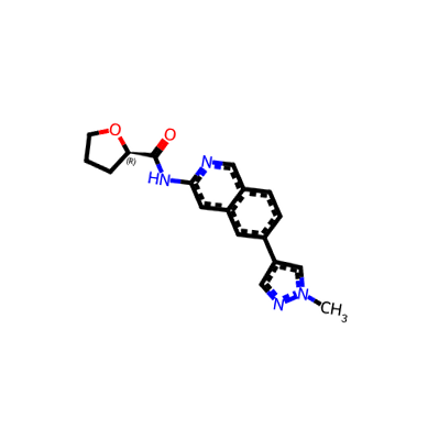 Cn1cc(-c2ccc3cnc(NC(=O)[C@H]4CCCO4)cc3c2)cn1